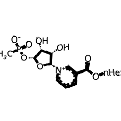 CCCCCCOC(=O)c1ccc[n+]([C@@H]2O[C@H](OP(C)(=O)[O-])[C@H](O)[C@@H]2O)c1